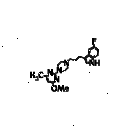 COc1cc(C)nc(N2CCN(CCCc3c[nH]c4ccc(F)cc34)CC2)n1